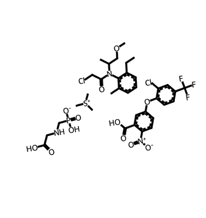 CCc1cccc(C)c1N(C(=O)CCl)C(C)COC.C[S+](C)C.O=C(O)CNCP(=O)([O-])O.O=C(O)c1cc(Oc2ccc(C(F)(F)F)cc2Cl)ccc1[N+](=O)[O-]